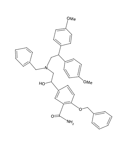 COc1ccc(C(CN(Cc2ccccc2)CC(O)c2ccc(OCc3ccccc3)c(C(N)=O)c2)c2ccc(OC)cc2)cc1